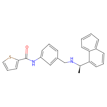 C[C@@H](NCc1cccc(NC(=O)c2cccs2)c1)c1cccc2ccccc12